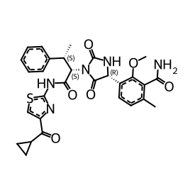 COc1c([C@H]2NC(=O)N([C@H](C(=O)Nc3nc(C(=O)C4CC4)cs3)[C@@H](C)c3ccccc3)C2=O)ccc(C)c1C(N)=O